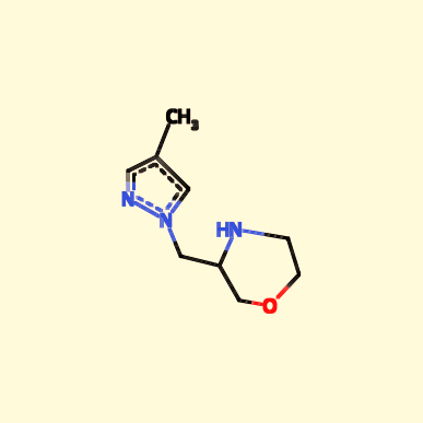 Cc1cnn(CC2COCCN2)c1